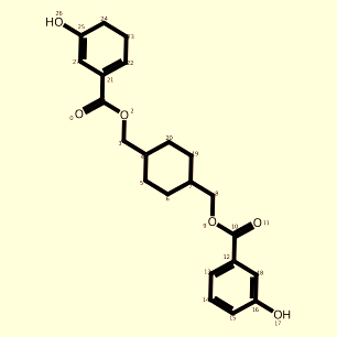 O=C(OCC1CCC(COC(=O)c2cccc(O)c2)CC1)C1=CCCC(O)=C1